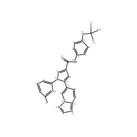 Cc1cccc(-n2nc(C(=O)Nc3ccc(OC(F)(F)F)cc3)cc2-c2ccc3ncnn3c2)n1